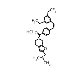 CN(C)Cc1cc2c(o1)CN(C(=O)c1ccc(/C=C\c3cc(CC(F)(F)F)cc(CC(F)(F)F)c3)cc1)CC2.Cl